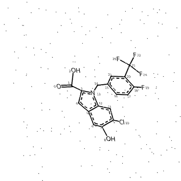 O=C(O)c1cc2cc(O)c(Cl)cc2n1Cc1ccc(F)c(C(F)(F)F)c1